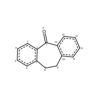 O=C1c2ccccc2[C]Cc2ccccc21